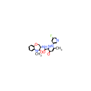 Cc1cc(=O)c(C(=O)NC2COc3ccccc3N(C)C2=O)nn1-c1cncc(F)c1